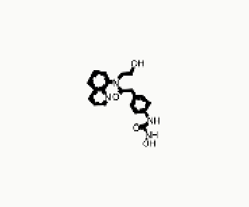 O=C(NO)Nc1ccc(CC(=O)N(CCO)c2cccc3cccnc23)cc1